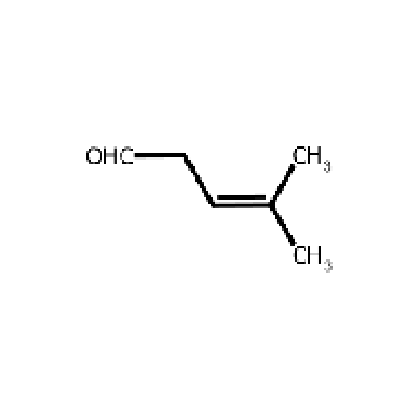 CC(C)=CCC=O